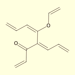 C=C/C=C(OC=C)\C(=C/C=C)C(=O)C=C